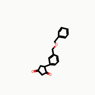 O=C1CC(=O)C(c2cccc(COCc3ccccc3)c2)C1